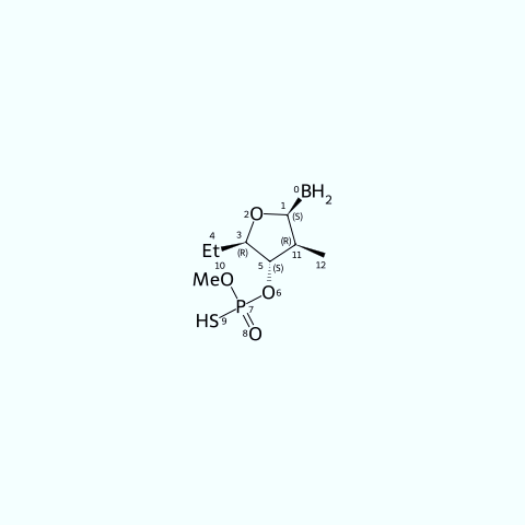 B[C@@H]1O[C@H](CC)[C@@H](OP(=O)(S)OC)[C@@H]1C